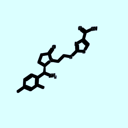 Cc1ccc(C(N)[C@H]2CCC(=O)N2CCSc2nc(C(=O)O)cs2)c(C)c1